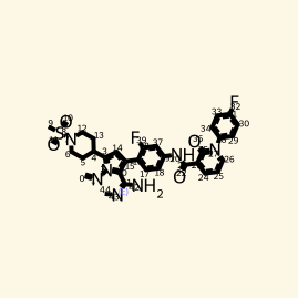 C=Nn1c(C2CCN(S(C)(=O)=O)CC2)cc(-c2ccc(NC(=O)c3cccn(-c4ccc(F)cc4)c3=O)cc2F)c1/C(N)=N\C